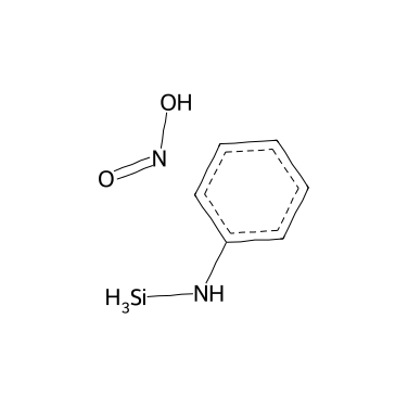 O=NO.[SiH3]Nc1ccccc1